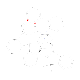 CC1(C)c2ccccc2-c2cc(N(c3ccccc3-c3ccccc3)c3cccc4c3C3(c5ccccc5-c5ccccc53)c3ccccc3-4)ccc21